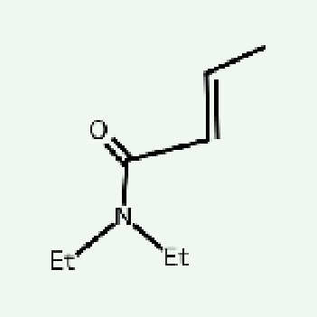 CC=CC(=O)N(CC)CC